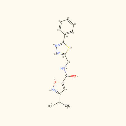 CC(C)c1cc(C(=O)NCc2nnc(-c3ccccc3)s2)on1